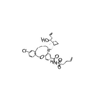 C=CCCS(=O)(=O)NC(=O)c1ccc2c(c1)N(C[C@H]1CC[C@]1(C)[C@@H](O)CC=C)CCCCc1cc(Cl)ccc1CO2